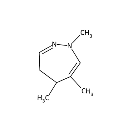 CC1=CN(C)N=CCC1C